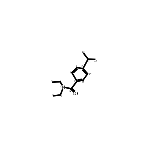 CCN(CC)C(=O)c1ccc(C(C)C)cc1